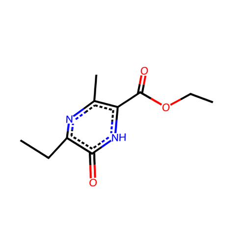 CCOC(=O)c1[nH]c(=O)c(CC)nc1C